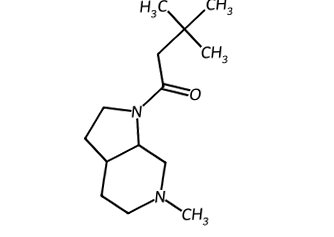 CN1CCC2CCN(C(=O)CC(C)(C)C)C2C1